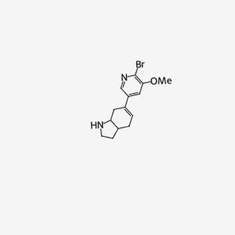 COc1cc(C2=CCC3CCNC3C2)cnc1Br